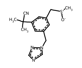 C[S+]([O-])Cc1cc(Cn2cncn2)cc(C(C)(C)C#N)c1